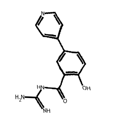 N=C(N)NC(=O)c1cc(-c2ccncc2)ccc1O